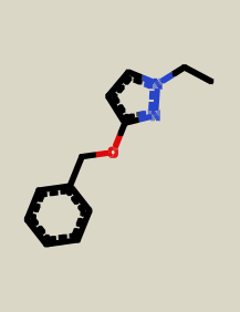 CCn1ccc(OCc2ccccc2)n1